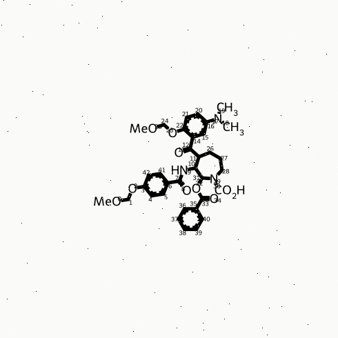 COCOc1ccc(C(=O)NC2C(C(=O)c3cc(N(C)C)ccc3OCOC)CCCN(C(=O)O)C2OC(=O)c2ccccc2)cc1